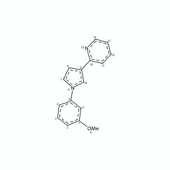 COc1cccc(-n2ccc(-c3ccccn3)c2)c1